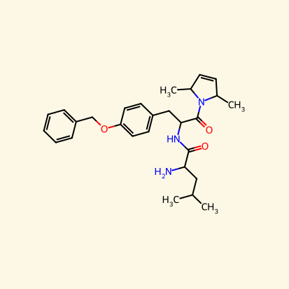 CC(C)CC(N)C(=O)NC(Cc1ccc(OCc2ccccc2)cc1)C(=O)N1C(C)C=CC1C